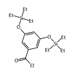 CC[Si](CC)(CC)Oc1cc(O[Si](CC)(CC)CC)cc(C(=O)Cl)c1